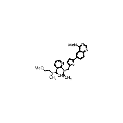 C=CN(Cc1ccc(-c2ccc3ncnc(NC)c3c2)s1)c1ncccc1C(=C)[N+](=C)CCOC